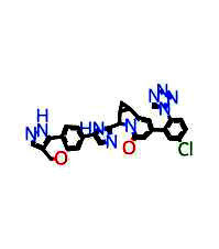 O=c1cc(-c2cc(Cl)ccc2-n2cnnn2)cc2n1C(c1ncc(-c3ccc4c(c3)OCc3cn[nH]c3-4)[nH]1)C1CC21